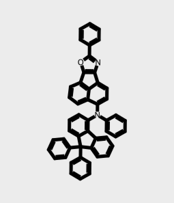 c1ccc(-c2nc3c(o2)-c2cccc4c(N(c5ccccc5)c5cccc6c5-c5ccccc5C6(c5ccccc5)c5ccccc5)ccc-3c24)cc1